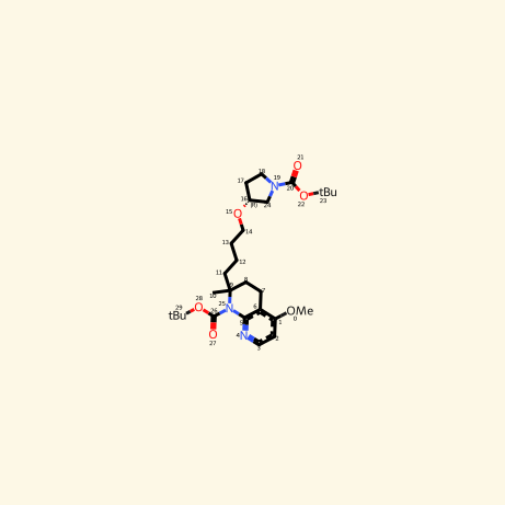 COc1ccnc2c1CCC(C)(CCCCO[C@@H]1CCN(C(=O)OC(C)(C)C)C1)N2C(=O)OC(C)(C)C